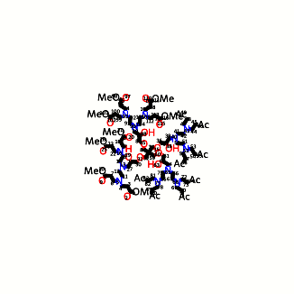 COC(=O)CCN(CCC(=O)OC)CCN(CCN(CCC(=O)OC)CCC(=O)OC)CC(O)COCC(COCC(O)CN(CCN(CCC(C)=O)CCC(C)=O)CCN(CCC(C)=O)CCC(C)=O)(COCC(O)CN(CCN(CCC(C)=O)CCC(C)=O)CCN(CCC(C)=O)CCC(C)=O)COCC(O)CN(CCN(CCC(=O)OC)CCC(=O)OC)CCN(CCC(=O)OC)CCC(=O)OC